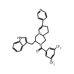 O=C(c1cc(C(F)(F)F)cc(C(F)(F)F)c1)N1CC2CCC(c3ccncc3)=CN2CC1Cc1c[nH]c2ccccc12